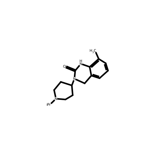 Cc1cccc2c1NC(=O)N(C1CCN(C(C)C)CC1)C2